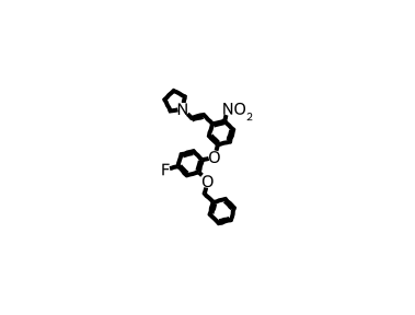 O=[N+]([O-])c1ccc(Oc2ccc(F)cc2OCc2ccccc2)cc1C=CN1CCCC1